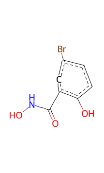 O=C(NO)c1cc(Br)ccc1O